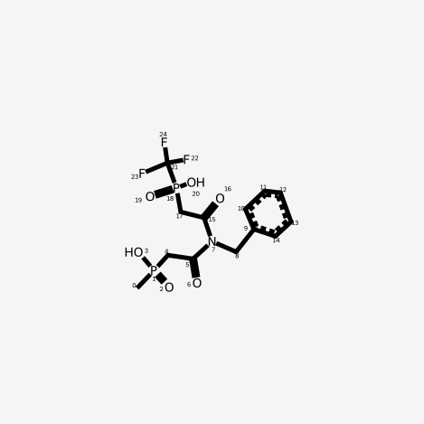 CP(=O)(O)CC(=O)N(Cc1ccccc1)C(=O)CP(=O)(O)C(F)(F)F